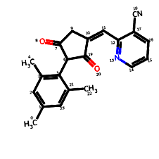 Cc1cc(C)c(C2C(=O)CC(=Cc3ncccc3C#N)C2=O)c(C)c1